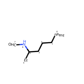 CCCCCCCCC(CC)NC=O